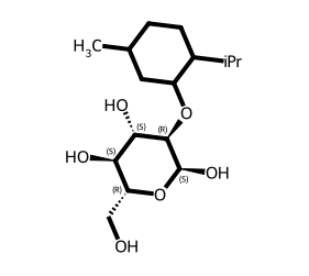 CC1CCC(C(C)C)C(O[C@@H]2[C@@H](O)[C@H](O)[C@@H](CO)O[C@@H]2O)C1